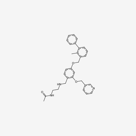 CC(=O)NCCNCc1ccc(OCc2cccc(-c3ccccc3)c2C)cc1OCc1cccnc1